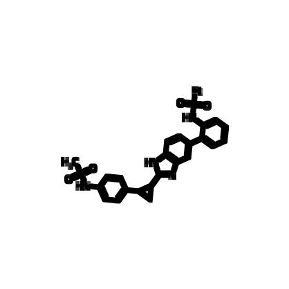 CCS(=O)(=O)Nc1ccccc1-c1ccc2[nH]c(C3CC3c3ccc(NS(C)(=O)=O)cc3)nc2c1